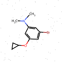 CN(C)c1cc(Br)cc(OC2CC2)c1